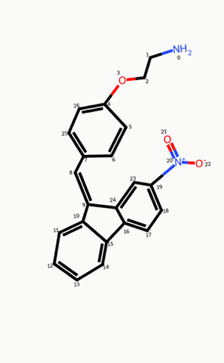 NCCOc1ccc(C=C2c3ccccc3-c3ccc([N+](=O)[O-])cc32)cc1